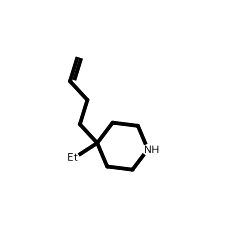 C=CCCC1(CC)CCNCC1